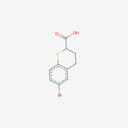 O=C(O)C1CCc2cc(Br)ccc2S1